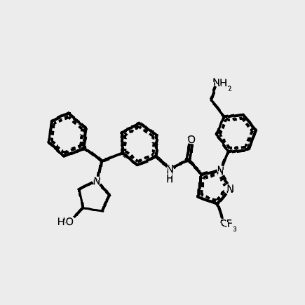 NCc1cccc(-n2nc(C(F)(F)F)cc2C(=O)Nc2cccc(C(c3ccccc3)N3CCC(O)C3)c2)c1